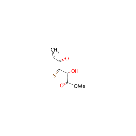 C=CC(=O)C(=S)C(O)C(=O)OC